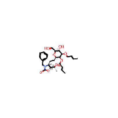 CCCCOC1C(OCCCC)[C@@H](CC[C@H]2[C@@H]([C@@H](C)O)OC(=O)N2Cc2ccccc2)OC(CO)[C@@H]1O